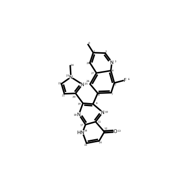 Cc1cnc2c(F)cc(-c3nc4c(=O)cc[nH]c4nc3-c3ccn(C)n3)cc2c1